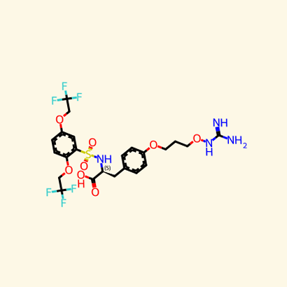 N=C(N)NOCCCOc1ccc(C[C@H](NS(=O)(=O)c2cc(OCC(F)(F)F)ccc2OCC(F)(F)F)C(=O)O)cc1